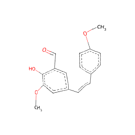 COc1ccc(/C=C\c2cc(C=O)c(O)c(OC)c2)cc1